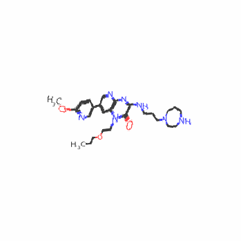 CCCOCCn1c(=O)c(NCCCN2CCCNCC2)nc2ncc(-c3ccc(OC)nc3)cc21